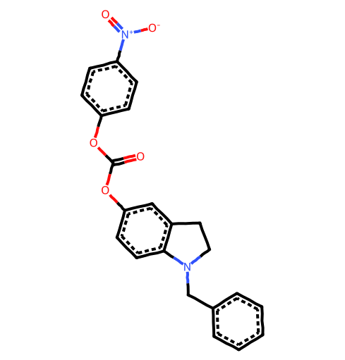 O=C(Oc1ccc([N+](=O)[O-])cc1)Oc1ccc2c(c1)CCN2Cc1ccccc1